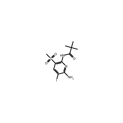 CC(C)(C)C(=O)Nc1nc(N)c(I)cc1S(C)(=O)=O